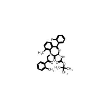 Cc1ccccc1C(=O)CN1C(=O)[C@@H](NC(=O)OC(C)(C)C)N=C(c2ccccc2F)c2cccc(C)c21